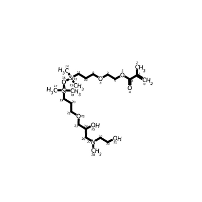 C=C(C)C(=O)OCCOCCC[Si](C)(C)O[Si](C)(C)CCCOCC(O)CN(C)CCO